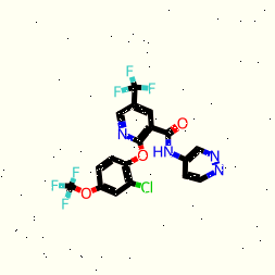 O=C(Nc1ccnnc1)c1cc(C(F)(F)F)cnc1Oc1ccc(OC(F)(F)F)cc1Cl